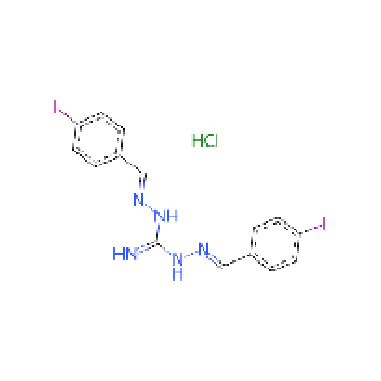 Cl.N=C(N/N=C/c1ccc(I)cc1)N/N=C/c1ccc(I)cc1